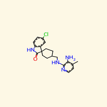 Cc1ccnc(NCC2CCC3(CC2)C(=O)Nc2ccc(Cl)cc23)c1N